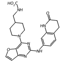 O=C(O)NCC1CCN(c2nc(Nc3ccc4c(c3)NC(=O)CC4)nc3ccoc23)CC1